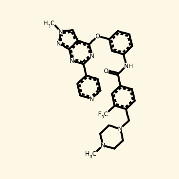 CN1CCN(Cc2ccc(C(=O)Nc3cccc(Oc4nc(-c5ccncc5)nc5nn(C)cc45)c3)cc2C(F)(F)F)CC1